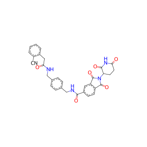 N#Cc1ccccc1CC(=O)NCc1ccc(CNC(=O)c2ccc3c(c2)C(=O)N(C2CCC(=O)NC2=O)C3=O)cc1